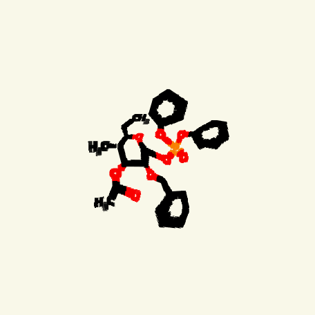 CC[C@H]1OC(OP(=O)(Oc2ccccc2)Oc2ccccc2)[C@@H](OCc2ccccc2)[C@@H](OC(C)=O)[C@@H]1C